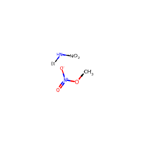 CCN[N+](=O)[O-].CO[N+](=O)[O-]